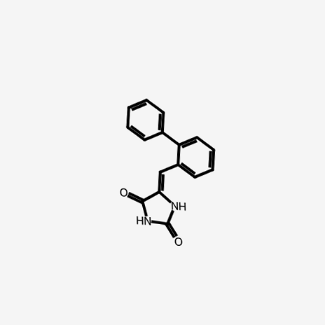 O=C1NC(=O)C(=Cc2ccccc2-c2ccccc2)N1